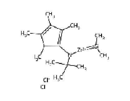 CC1=C(C)C(C)C([N]([Zr+2]=[Si](C)C)C(C)(C)C)=C1C.[Cl-].[Cl-]